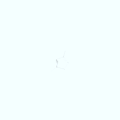 [2H]c1cc(C)[nH]n1